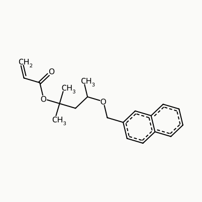 C=CC(=O)OC(C)(C)CC(C)OCc1ccc2ccccc2c1